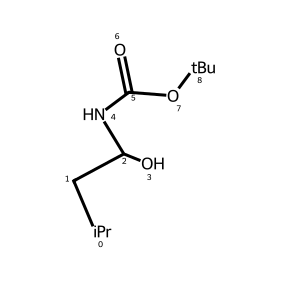 CC(C)CC(O)NC(=O)OC(C)(C)C